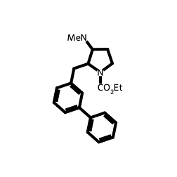 CCOC(=O)N1CCC(NC)C1Cc1cccc(-c2ccccc2)c1